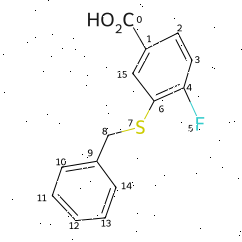 O=C(O)c1ccc(F)c(SCc2ccccc2)c1